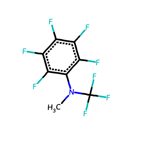 CN(c1c(F)c(F)c(F)c(F)c1F)C(F)(F)F